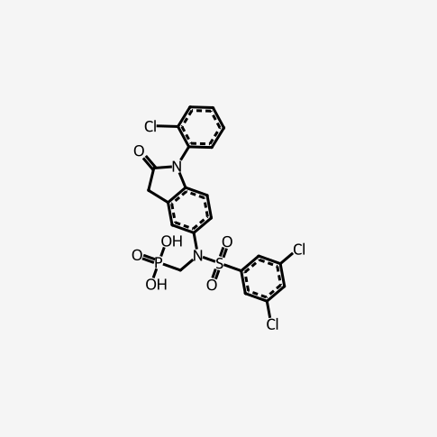 O=C1Cc2cc(N(CP(=O)(O)O)S(=O)(=O)c3cc(Cl)cc(Cl)c3)ccc2N1c1ccccc1Cl